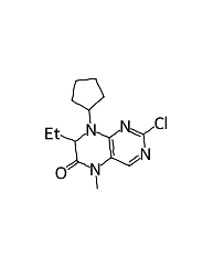 CCC1C(=O)N(C)c2cnc(Cl)nc2N1C1CCCC1